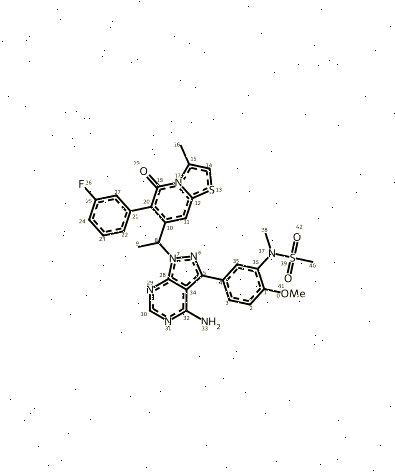 COc1ccc(-c2nn(C(C)c3cc4scc(C)n4c(=O)c3-c3cccc(F)c3)c3ncnc(N)c23)cc1N(C)S(C)(=O)=O